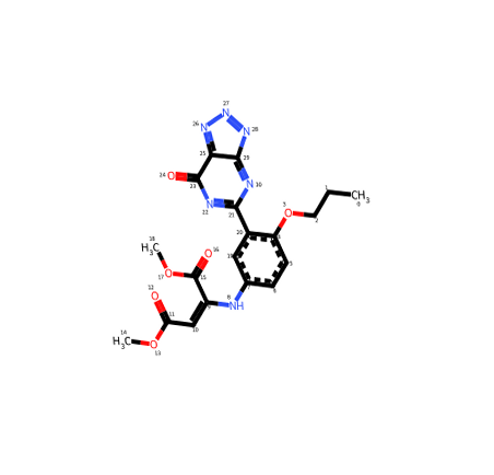 CCCOc1ccc(NC(=CC(=O)OC)C(=O)OC)cc1C1=NC(=O)C2=NN=NC2=N1